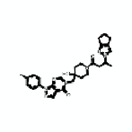 CC(CC(=O)N1CCC(O)(Cn2cnc3c(cnn3-c3ccc(F)cc3)c2=O)CC1)n1cc2c(n1)CCC2